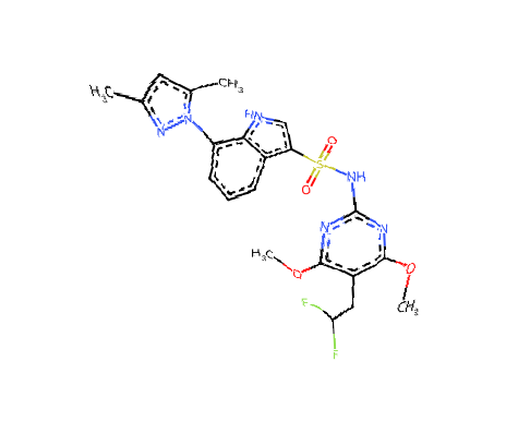 COc1nc(NS(=O)(=O)c2c[nH]c3c(-n4nc(C)cc4C)cccc23)nc(OC)c1CC(F)F